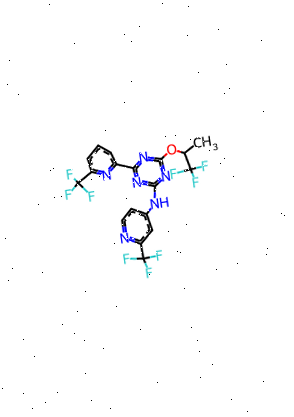 CC(Oc1nc(Nc2ccnc(C(F)(F)F)c2)nc(-c2cccc(C(F)(F)F)n2)n1)C(F)(F)F